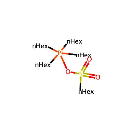 CCCCCCS(=O)(=O)OP(CCCCCC)(CCCCCC)(CCCCCC)CCCCCC